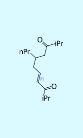 CCCC(C/C=C/C(=O)C(C)C)CC(=O)C(C)C